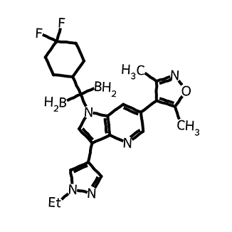 BC(B)(C1CCC(F)(F)CC1)n1cc(-c2cnn(CC)c2)c2ncc(-c3c(C)noc3C)cc21